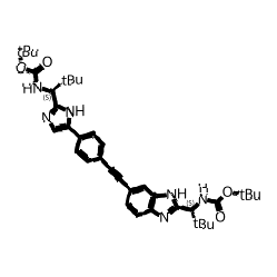 CC(C)(C)OC(=O)N[C@H](c1ncc(-c2ccc(C#Cc3ccc4nc([C@@H](NC(=O)OC(C)(C)C)C(C)(C)C)[nH]c4c3)cc2)[nH]1)C(C)(C)C